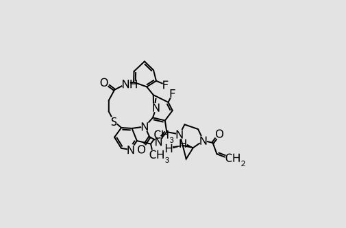 C=CC(=O)N1CCN(c2nc(=O)n3c4nc(c(F)cc24)-c2c(F)cccc2NC(=O)CCSc2ccnc(C(C)C)c2-3)[C@H]2C[C@H]21